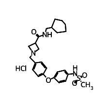 CS(=O)(=O)Nc1ccc(Oc2ccc(CN3CC(C(=O)NCC4CCCCC4)C3)cc2)cc1.Cl